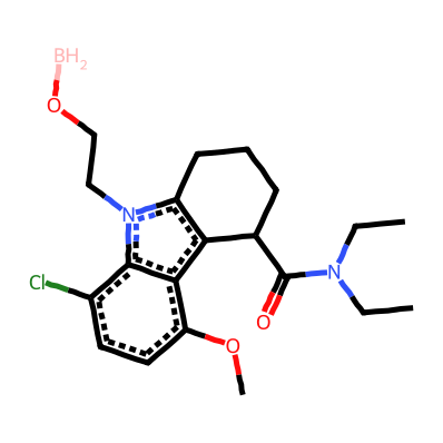 BOCCn1c2c(c3c(OC)ccc(Cl)c31)C(C(=O)N(CC)CC)CCC2